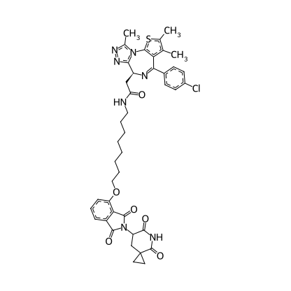 Cc1sc2c(c1C)C(c1ccc(Cl)cc1)=N[C@@H](CC(=O)NCCCCCCCCOc1cccc3c1C(=O)N(C1CC4(CC4)C(=O)NC1=O)C3=O)c1nnc(C)n1-2